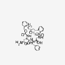 CC(C)CCc1ccccc1S(=O)(=O)NC[C@@H](O)[C@H](Cc1ccccc1)NC(=O)[C@H](CC(N)=O)NC(=O)OCc1ccccc1